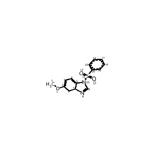 COC1=CC=C2C(C1)N=CN2S(=O)(=O)c1ccccc1